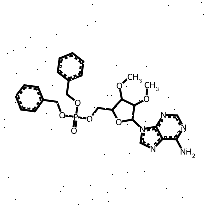 COC1C(COP(=O)(OCc2ccccc2)OCc2ccccc2)OC(n2cnc3c(N)ncnc32)C1OC